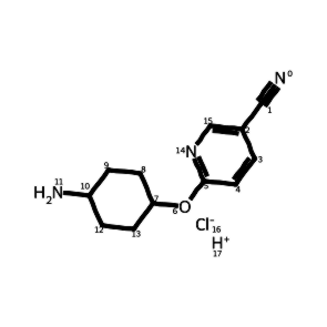 N#Cc1ccc(OC2CCC(N)CC2)nc1.[Cl-].[H+]